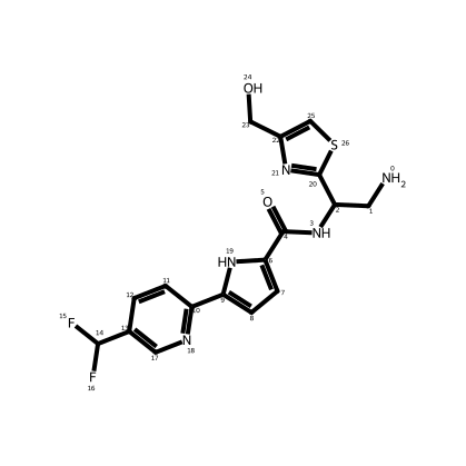 NCC(NC(=O)c1ccc(-c2ccc(C(F)F)cn2)[nH]1)c1nc(CO)cs1